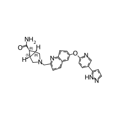 NC(=O)[C@H]1[C@@H]2CN(Cc3ccc4cc(Oc5ccc(-c6ccn[nH]6)cn5)ccc4n3)C[C@@H]21